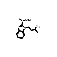 CC(N)CCn1c(N(C)C=O)nc2ccccc21